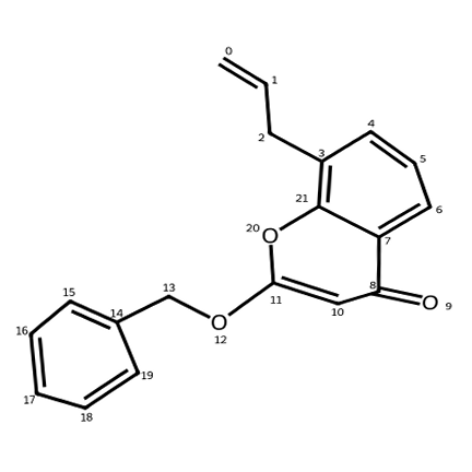 C=CCc1cccc2c(=O)cc(OCc3ccccc3)oc12